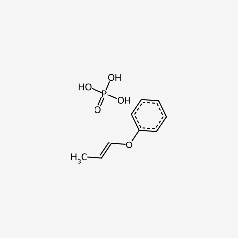 CC=COc1ccccc1.O=P(O)(O)O